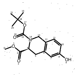 COC(=O)[C@@H]1Cc2cc(O)ccc2CN1C(=O)OC(C)(C)C